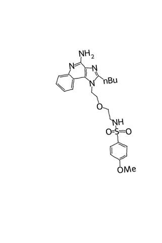 CCCCc1nc2c(N)nc3ccccc3c2n1CCOCCNS(=O)(=O)c1ccc(OC)cc1